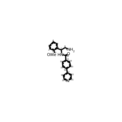 COc1ccccc1C(CN)NC(=O)c1ccc(-c2ccncc2)cc1